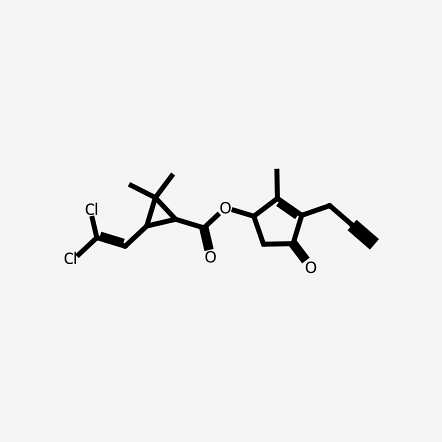 C#CCC1=C(C)C(OC(=O)C2C(C=C(Cl)Cl)C2(C)C)CC1=O